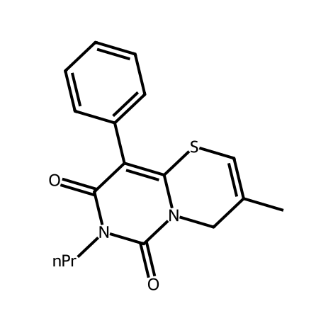 CCCn1c(=O)c(-c2ccccc2)c2n(c1=O)CC(C)=CS2